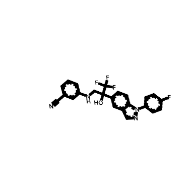 N#Cc1cccc(NCC(O)(c2ccc3c(cnn3-c3ccc(F)cc3)c2)C(F)(F)F)c1